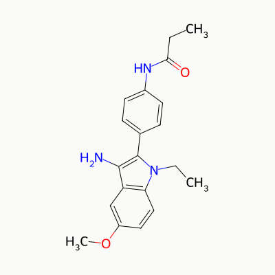 CCC(=O)Nc1ccc(-c2c(N)c3cc(OC)ccc3n2CC)cc1